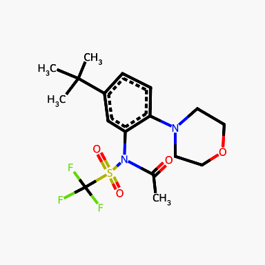 CC(=O)N(c1cc(C(C)(C)C)ccc1N1CCOCC1)S(=O)(=O)C(F)(F)F